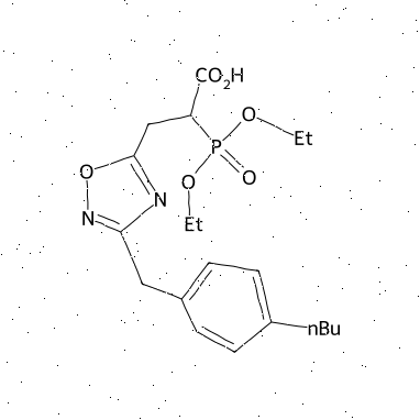 CCCCc1ccc(Cc2noc(CC(C(=O)O)P(=O)(OCC)OCC)n2)cc1